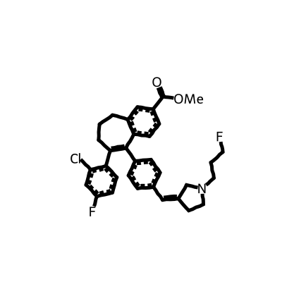 COC(=O)c1ccc2c(c1)CCCC(c1ccc(F)cc1Cl)=C2c1ccc(C=C2CCN(CCCF)C2)cc1